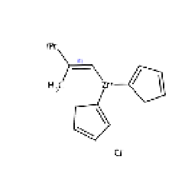 C/C(=[CH]\[Zr+]([C]1=CC=CC1)[C]1=CC=CC1)C(C)C.[Cl-]